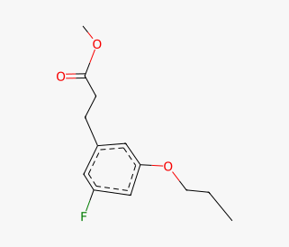 CCCOc1cc(F)cc(CCC(=O)OC)c1